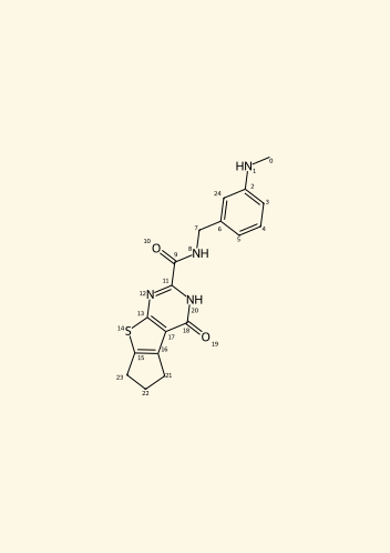 CNc1cccc(CNC(=O)c2nc3sc4c(c3c(=O)[nH]2)CCC4)c1